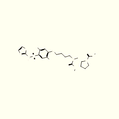 CC(C)(C)OC(=O)N(CCCCNc1cc(F)c(S(=O)(=O)Nc2nccs2)cc1Cl)C[C@H]1CCCN1C(=O)OC(C)(C)C